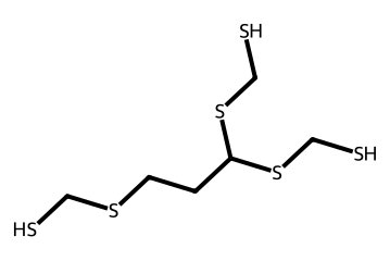 SCSCCC(SCS)SCS